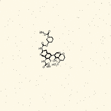 Cc1c(-c2cc3cc(NC(=O)OC4CCCN(C(=O)OC(C)(C)C)C4)ncc3c(NC(=O)OC(C)(C)C)c2F)cnc2c1N(C(=O)O)CCO2